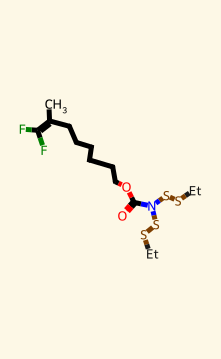 CCSSN(SSCC)C(=O)OCCCCCCC(C)=C(F)F